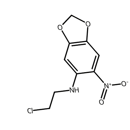 O=[N+]([O-])c1cc2c(cc1NCCCl)OCO2